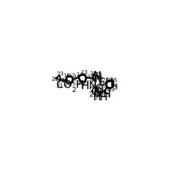 [2H]C([2H])([2H])C([2H])(OC(=O)Nc1c(-c2ccc(-c3ccc(C4(C(=O)O)CC4)cc3)cc2)cnn1C)c1ccccc1